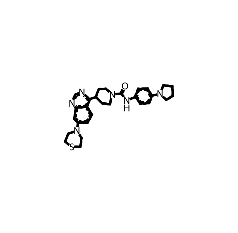 O=C(Nc1ccc(N2CCCC2)cc1)N1CCC(c2ncnc3cc(N4CCSCC4)ccc23)CC1